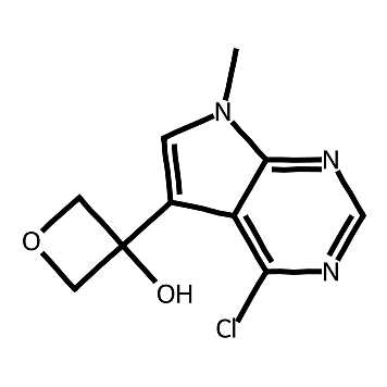 Cn1cc(C2(O)COC2)c2c(Cl)ncnc21